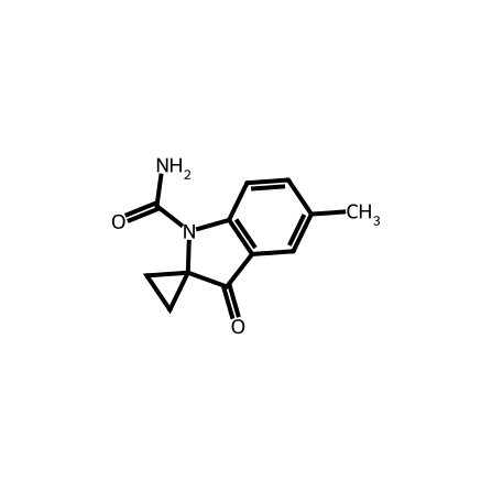 Cc1ccc2c(c1)C(=O)C1(CC1)N2C(N)=O